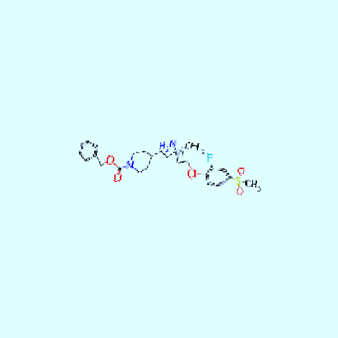 C[C@](N)(CCOc1ccc(S(C)(=O)=O)cc1F)CCC1CCN(C(=O)OCc2ccccc2)CC1